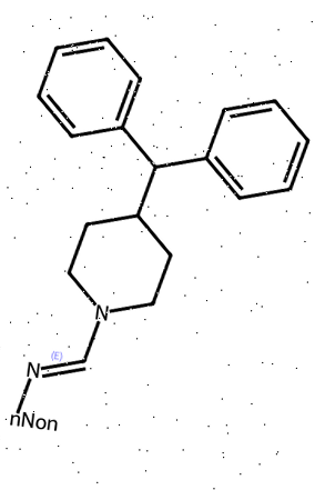 CCCCCCCCC/N=C/N1CCC(C(c2ccccc2)c2ccccc2)CC1